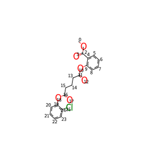 COC(=O)c1ccccc1OC(=O)CCCC(=O)Oc1ccccc1Cl